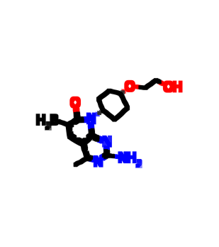 Bc1cc2c(C)nc(N)nc2n([C@H]2CC[C@@H](OCCO)CC2)c1=O